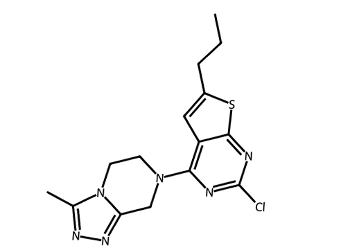 CCCc1cc2c(N3CCn4c(C)nnc4C3)nc(Cl)nc2s1